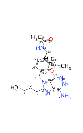 CCCCc1nc2c(N)nnc(OC(C)C)c2n1Cc1ccc(CNC(C)=O)cc1